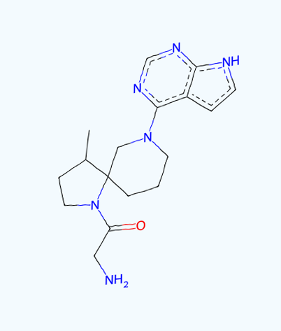 CC1CCN(C(=O)CN)C12CCCN(c1ncnc3[nH]ccc13)C2